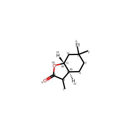 CCC1(C)CC[C@H]2C(C)C(=O)O[C@@H]2C1